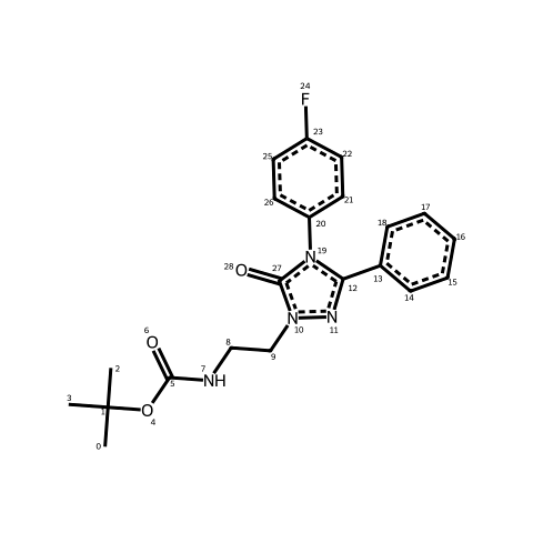 CC(C)(C)OC(=O)NCCn1nc(-c2ccccc2)n(-c2ccc(F)cc2)c1=O